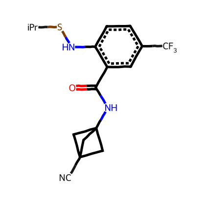 CC(C)SNc1ccc(C(F)(F)F)cc1C(=O)NC12CC(C#N)(C1)C2